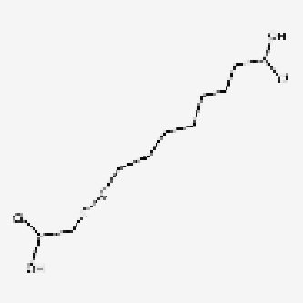 OC(Cl)CCCCCCCCCCC(O)Cl